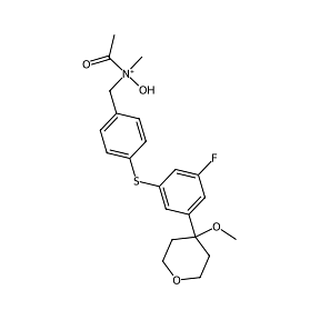 COC1(c2cc(F)cc(Sc3ccc(C[N+](C)(O)C(C)=O)cc3)c2)CCOCC1